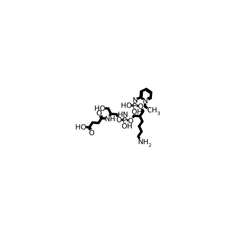 CC[n+]1ccccc1N=P(O)(O)OCC(CCCCN)COP(=N)(O)OCC(CO)NC(=O)CCC(=O)O